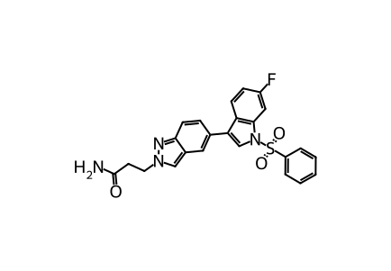 NC(=O)CCn1cc2cc(-c3cn(S(=O)(=O)c4ccccc4)c4cc(F)ccc34)ccc2n1